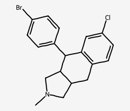 CN1CC2Cc3ccc(Cl)cc3C(c3ccc(Br)cc3)C2C1